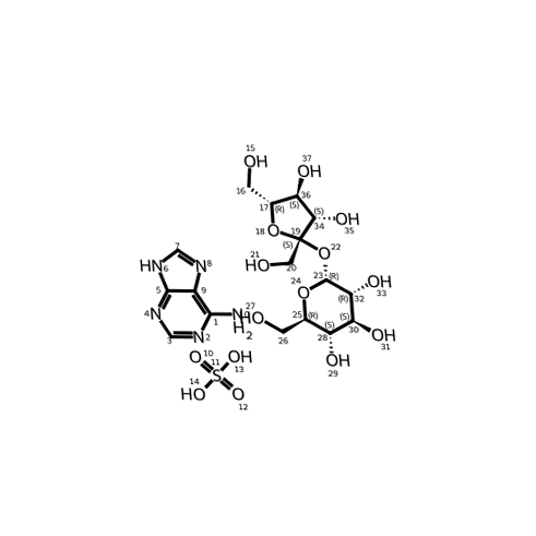 Nc1ncnc2[nH]cnc12.O=S(=O)(O)O.OC[C@H]1O[C@@](CO)(O[C@H]2O[C@H](CO)[C@@H](O)[C@H](O)[C@H]2O)[C@@H](O)[C@@H]1O